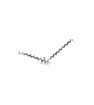 CCCCCCCCCCCCCCCCOC(=O)[C@H](C)NC(=O)CCCCCCCCCCC